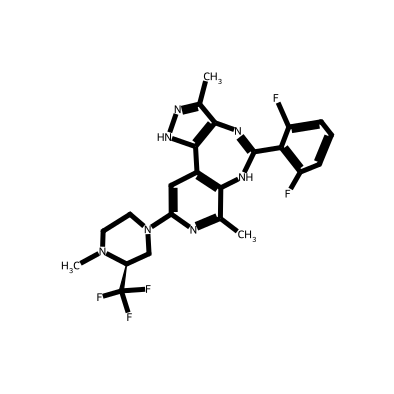 Cc1n[nH]c2c1N=C(c1c(F)cccc1F)Nc1c-2cc(N2CCN(C)[C@H](C(F)(F)F)C2)nc1C